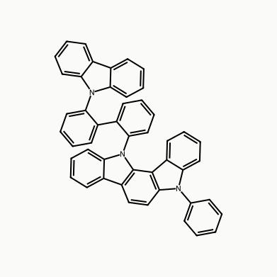 c1ccc(-n2c3ccccc3c3c2ccc2c4ccccc4n(-c4ccccc4-c4ccccc4-n4c5ccccc5c5ccccc54)c23)cc1